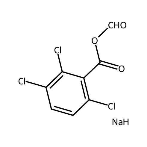 O=COC(=O)c1c(Cl)ccc(Cl)c1Cl.[NaH]